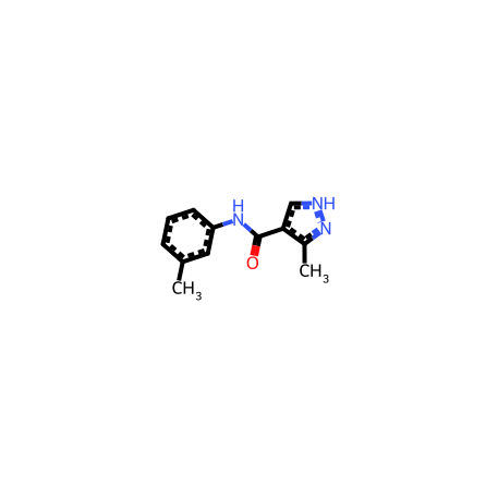 Cc1cccc(NC(=O)c2c[nH]nc2C)c1